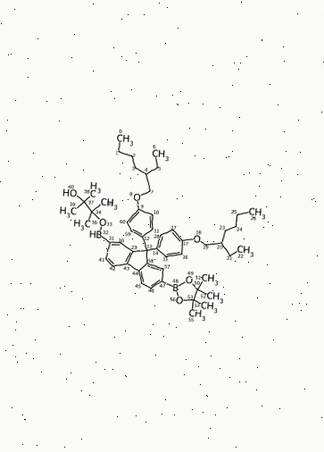 CCCCC(CC)COc1ccc(C2(c3ccc(OCC(CC)CCCC)cc3)c3cc(BOC(C)(C)C(C)(C)O)ccc3-c3ccc(B4OC(C)(C)C(C)(C)O4)cc32)cc1